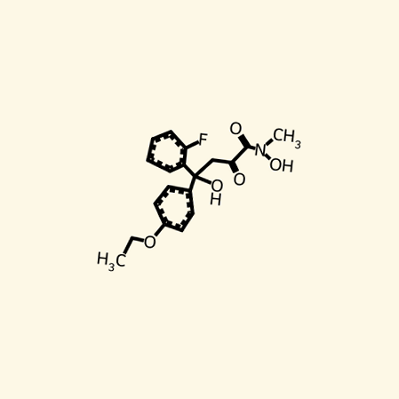 CCOc1ccc(C(O)(CC(=O)C(=O)N(C)O)c2ccccc2F)cc1